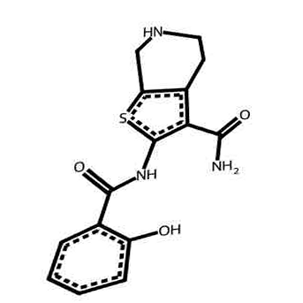 NC(=O)c1c(NC(=O)c2ccccc2O)sc2c1CCNC2